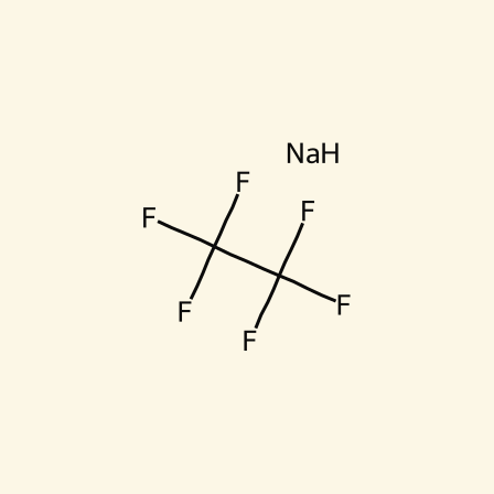 FC(F)(F)C(F)(F)F.[NaH]